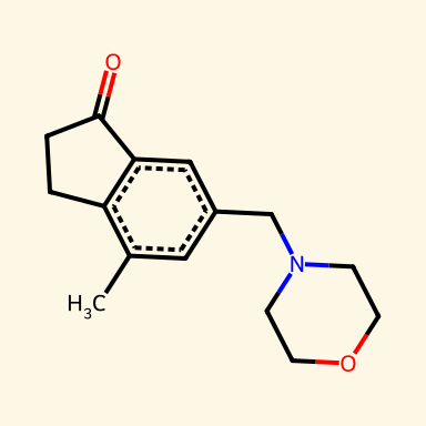 Cc1cc(CN2CCOCC2)cc2c1CCC2=O